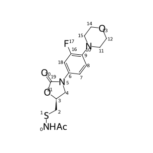 CC(=O)NSC[C@@H]1CN(c2ccc(N3CCOCC3)c(F)c2)C(=O)O1